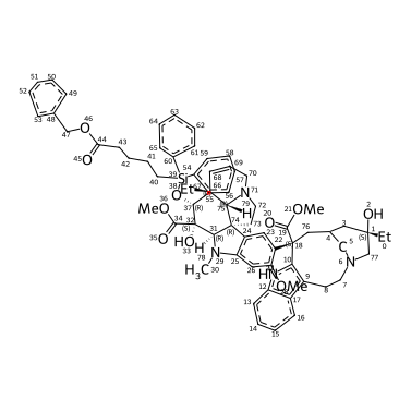 CC[C@]1(O)CC2CN(CCc3c([nH]c4ccccc34)[C@@](C(=O)OC)(c3cc4c(cc3OC)N(C)[C@H]3[C@@](O)(C(=O)OC)[C@H](O[Si](CCCCC(=O)OCc5ccccc5)(c5ccccc5)c5ccccc5)[C@]5(CC)C=CCN6CC[C@]43[C@@H]65)C2)C1